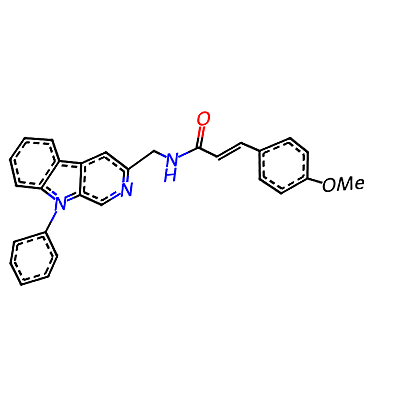 COc1ccc(/C=C/C(=O)NCc2cc3c4ccccc4n(-c4ccccc4)c3cn2)cc1